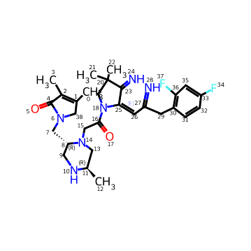 CC1=C(C)C(=O)N(C[C@H]2CN[C@H](C)CN2CC(=O)N2CC(C)(C)C(=N)/C2=C\C(=N)Cc2ccc(F)cc2F)C1